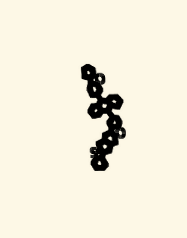 c1ccc2c(c1)oc1cc(-c3c4ccccc4c(-c4ccc5oc6cc7cc8c(cc7cc6c5c4)sc4ccccc48)c4ccccc34)ccc12